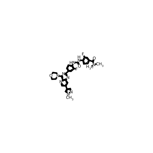 CN(C)C(=O)c1ccc(NC(=O)Nc2ccc(-c3nc(N4CCOCC4)c4ncc(-c5cnn(C)c5)cc4n3)cc2F)c(F)c1